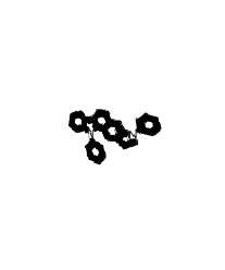 c1ccc(-n2ccc3cc4c(ccc5c6ccccc6n(-c6ccccc6)c45)cc32)cc1